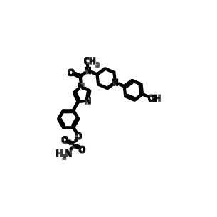 CN(C(=O)n1cnc(-c2cccc(OS(N)(=O)=O)c2)c1)C1CCN(c2ccc(O)cc2)CC1